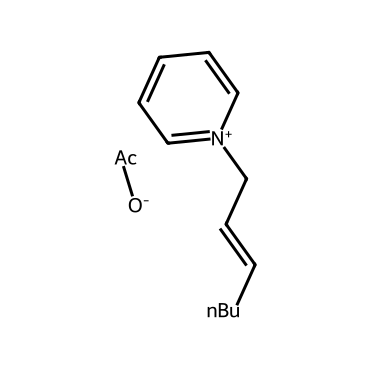 CC(=O)[O-].CCCCC=CC[n+]1ccccc1